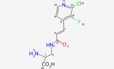 NC(CNC(=O)/C=C/c1ccnc(Cl)c1F)C(=O)O